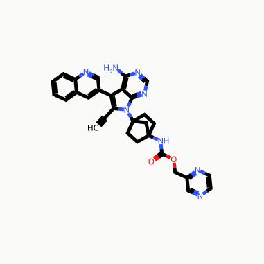 C#Cc1c(-c2cnc3ccccc3c2)c2c(N)ncnc2n1C12CCC(NC(=O)OCc3cnccn3)(CC1)C2